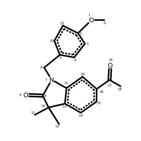 COc1ccc(CN2C(=O)C(C)(C)c3ccc(C(C)=O)cc32)cc1